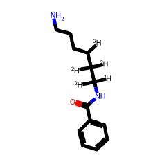 [2H]C(CCCN)C([2H])([2H])C([2H])([2H])NC(=O)c1ccccc1